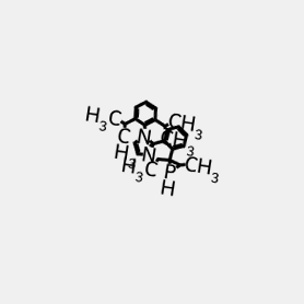 CCC1(c2ccccc2-c2nccn2-c2c(C(C)C)cccc2C(C)C)PC1C